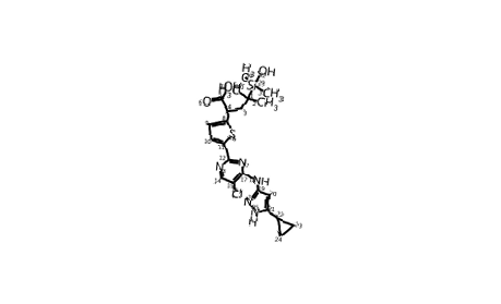 CC(C)(CC(C(=O)O)c1ccc(-c2ncc(Cl)c(Nc3cc(C4CC4)[nH]n3)n2)s1)[Si](C)(C)O